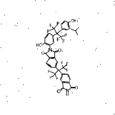 CC(C)c1cc(C(c2ccc(O)c(N3C(=O)c4ccc(C(c5ccc6c(c5)C(=O)NC6=O)(C(F)(F)F)C(F)(F)F)cc4C3=O)c2)(C(F)(F)F)C(F)(F)F)ccc1O